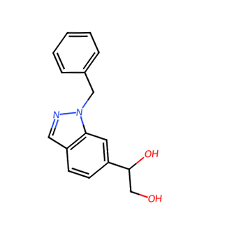 OCC(O)c1ccc2cnn(Cc3ccccc3)c2c1